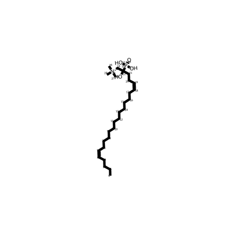 CCCC/C=C\CCCCCCCCCCCC/C=C\CCC(O)(C[N+](C)(C)C)P(=O)(O)O